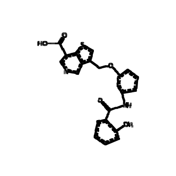 O=C(Nc1cccc(OCc2csc3c(C(=O)O)cncc23)c1)c1ccccc1O